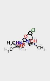 C=CC[C@@H](CCCC)[C@@H](C)S(=O)(=O)NC(=O)c1ccc2c(c1)N(C[C@@H]1CC[C@H]1[C@@H](O)/C=C/CCC)CCCCc1cc(Cl)ccc1CO2